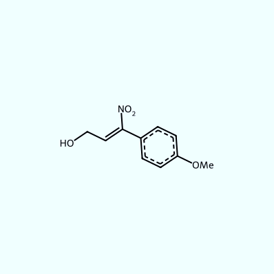 COc1ccc(/C(=C/CO)[N+](=O)[O-])cc1